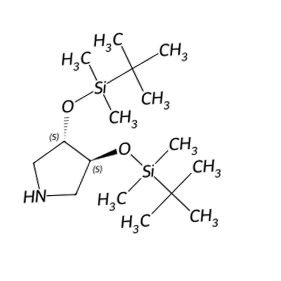 CC(C)(C)[Si](C)(C)O[C@H]1CNC[C@@H]1O[Si](C)(C)C(C)(C)C